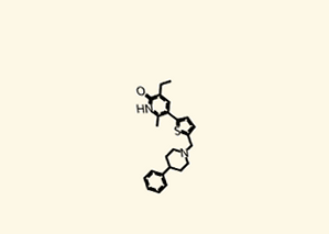 CCc1cc(-c2ccc(CN3CCC(c4ccccc4)CC3)s2)c(C)[nH]c1=O